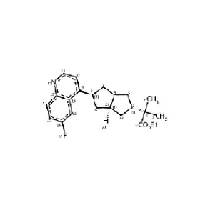 CCOC(=O)C(C)(C)[C@H]1CC2C[C@H](c3ccnc4ccc(F)cc34)C[C@@H]2C1